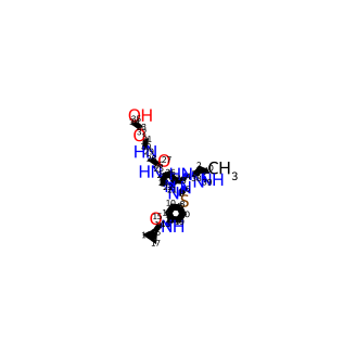 Cc1cc(Nc2nc(Sc3ccc(NC(=O)C4CC4)cc3)nn3cc(NC(=O)CNCCOCCO)cc23)n[nH]1